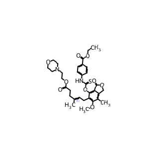 CCOC(=O)c1ccc(NC(=S)Oc2c(C/C=C(\C)CCC(=O)OCCN3CCOCC3)c(OC)c(C)c3c2C(=O)OC3)cc1